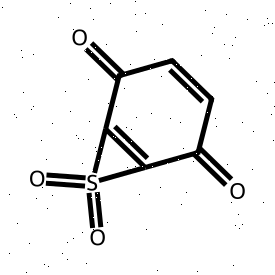 O=C1C=CC(=O)C2=C1S2(=O)=O